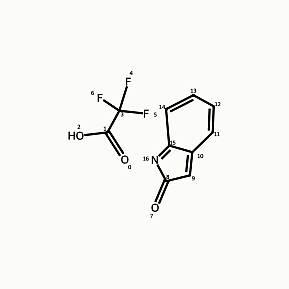 O=C(O)C(F)(F)F.O=C1C=c2ccccc2=N1